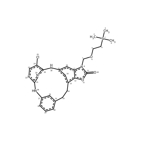 C[Si](C)(C)CCOCn1c(=O)oc2c3cc(cc21)Nc1nc(ncc1Cl)Nc1cccc(c1)CC3